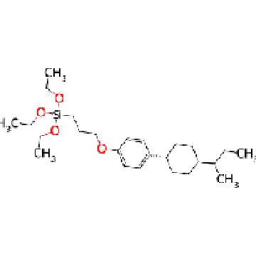 CCO[Si](CCCOc1ccc([C@H]2CC[C@H](C(C)CC)CC2)cc1)(OCC)OCC